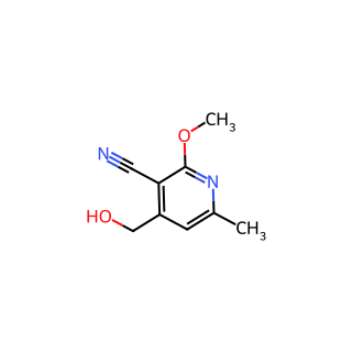 COc1nc(C)cc(CO)c1C#N